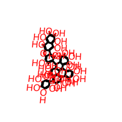 Oc1c(O)c(O)c(-c2c(O)c(O)c(-c3c(O)c(O)c(O)c(O)c3-c3c4c(O)c(O)c(O)c(O)c4c(-c4c(O)c(O)c5oc6c(O)c7c(O)c(O)c(O)c(O)c7c(O)c6c5c4O)c4c(O)c(O)c(O)c(O)c34)c(O)c2O)c(O)c1O